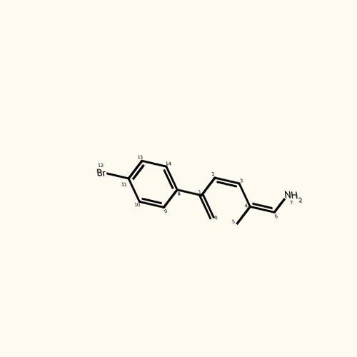 C=C(/C=C\C(C)=C/N)c1ccc(Br)cc1